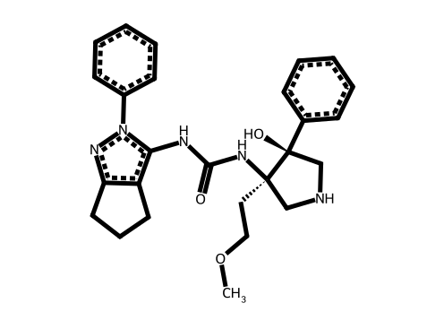 COCC[C@@]1(NC(=O)Nc2c3c(nn2-c2ccccc2)CCC3)CNC[C@@]1(O)c1ccccc1